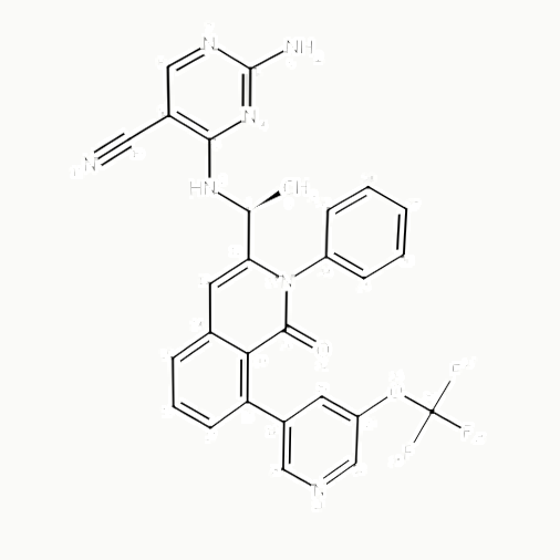 C[C@H](Nc1nc(N)ncc1C#N)c1cc2cccc(-c3cncc(OC(F)(F)F)c3)c2c(=O)n1-c1ccccc1